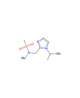 CC(n1ccnc1CN(C(C)(C)C)S(C)(=O)=O)C(C)(C)C